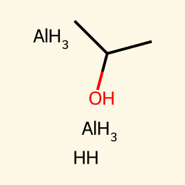 CC(C)O.[AlH3].[AlH3].[HH]